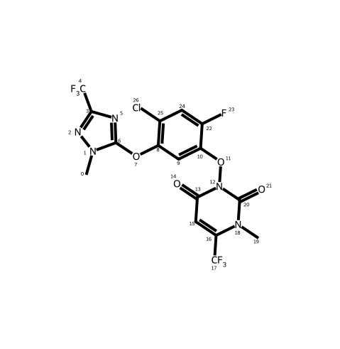 Cn1nc(C(F)(F)F)nc1Oc1cc(On2c(=O)cc(C(F)(F)F)n(C)c2=O)c(F)cc1Cl